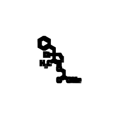 CCC(CI)(Cc1ccccc1)C(C)=NOCC(=O)OC